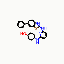 O[C@H]1CC[C@H](Nc2cccc(Nc3nc4ccc(-c5ccccc5)cc4s3)n2)CC1